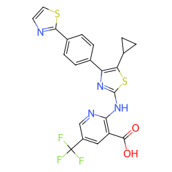 O=C(O)c1cc(C(F)(F)F)cnc1Nc1nc(-c2ccc(-c3nccs3)cc2)c(C2CC2)s1